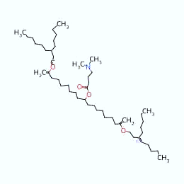 C=C(CCCCCCCC(CCCCCCCC(=C)OCCC(CCCCC)CCCCCC)OC(=O)CCCN(C)C)OCC/C(=C/CCCC)CCCCC